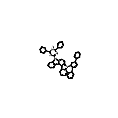 c1ccc(C2=NC(n3c4ccccc4c4c5c6ccccc6n(-c6cc(-c7ccccc7)ccc6-c6ccccc6)c5ccc43)=NC(c3ccccc3)N2)cc1